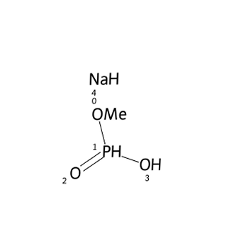 CO[PH](=O)O.[NaH]